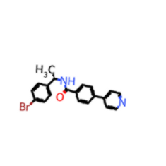 C[C@@H](NC(=O)c1ccc(-c2ccncc2)cc1)c1ccc(Br)cc1